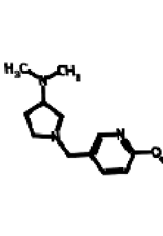 CN(C)C1CCN(Cc2ccc(OCl)nc2)C1